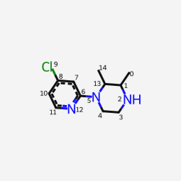 CC1NCCN(c2cc(Cl)ccn2)C1C